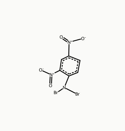 O=[N+]([O-])c1ccc(N(Br)Br)c([N+](=O)[O-])c1